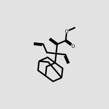 C=CCC(C=C)(C(=C)C(=O)OC)C12CC3CC(CC(C3)C1)C2